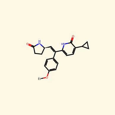 CCOc1ccc(/C(=C\[C@H]2CCC(=O)N2)c2ccc(C3CC3)c(=O)[nH]2)cc1